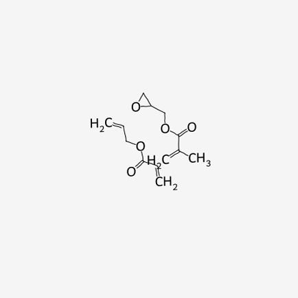 C=C(C)C(=O)OCC1CO1.C=CCOC(=O)C=C